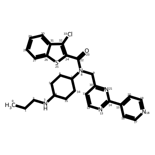 CCCNC1CCC(N(Cc2ccnc(-c3ccncc3)n2)C(=O)c2sc3ccccc3c2Cl)CC1